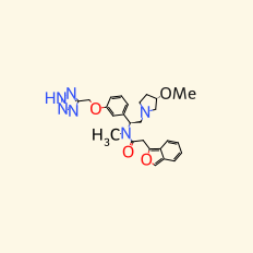 CO[C@H]1CCN(C[C@H](c2cccc(OCc3nn[nH]n3)c2)N(C)C(=O)Cc2occ3ccccc23)C1